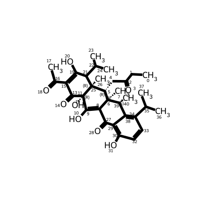 CCC(=O)C[C@@H]1[C@]2(C)C(=C(O)[C@@]3(O)C(=O)C(C(C)=O)=C(O)C(C(C)C)[C@@]13C)C(=O)c1c(O)ccc(C(C)C)c1[C@H]2C